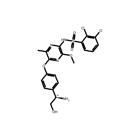 COc1nc(Oc2ccc([C@@H](N)CO)cc2)c(C)nc1NS(=O)(=O)c1cccc(Cl)c1Cl